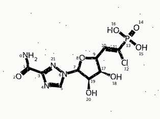 NC(=O)c1ncn(C2OC(/C=C(\Cl)P(=O)(O)O)[C@@H](O)[C@H]2O)n1